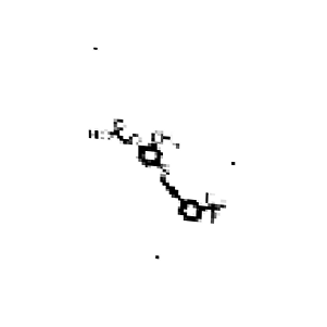 Cc1cc(SCC#Cc2cccc(C(F)(F)F)c2)ccc1OCC(=O)O